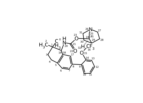 CC1(C)CCc2ccc(-c3ccccc3OC(F)(F)F)cc2C1NC(=O)O[C@H]1CN2CCC1CC2